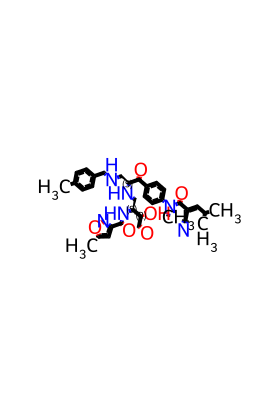 Cc1ccc(CNC[C@H](NC[C@H](NC(=O)c2cc(C)on2)[C@@H](O)C=O)C(=O)c2ccc(N(C)C(=O)C(C#N)=CC(C)C)cc2)cc1